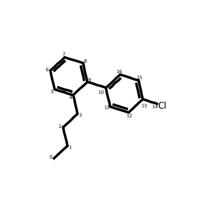 CCCCc1ccccc1-c1ccc(Cl)cc1